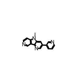 In1c2ccncc2c2ncc(-c3cccnc3)cc21